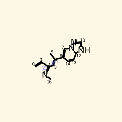 C=CC(/C=C(\C)C1=CN2N=CNC2C=C1)=N/C